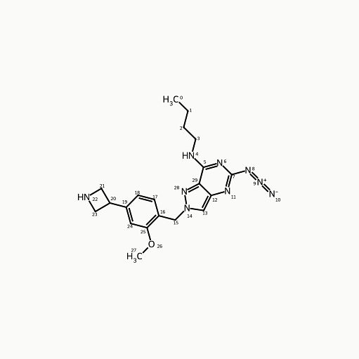 CCCCNc1nc(N=[N+]=[N-])nc2cn(Cc3ccc(C4CNC4)cc3OC)nc12